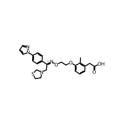 Cc1c(CC(=O)O)cccc1OCCO/N=C(\CN1CCSC1)c1ccc(-n2cccn2)cc1